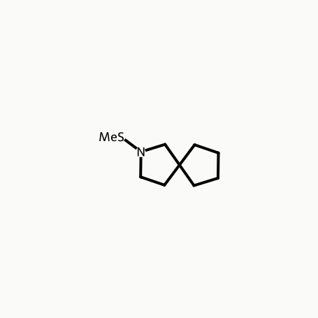 CSN1CCC2(CCCC2)C1